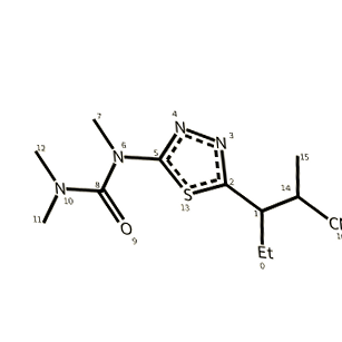 CCC(c1nnc(N(C)C(=O)N(C)C)s1)C(C)C#N